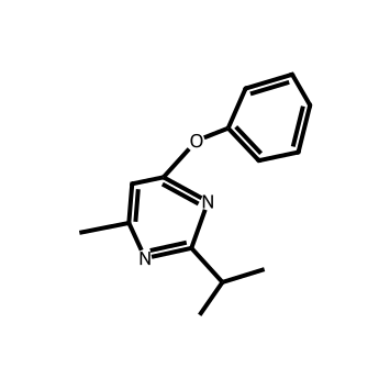 Cc1cc(Oc2ccccc2)nc(C(C)C)n1